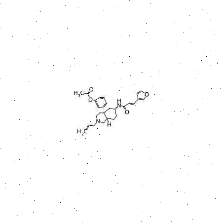 C=CCN1CC[C@@]2(c3cccc(OC(C)=O)c3)C[C@@H](NC(=O)/C=C/c3ccoc3)CC[C@@H]2C1